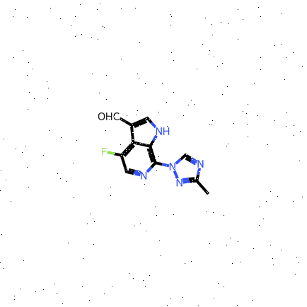 Cc1ncn(-c2ncc(F)c3c(C=O)c[nH]c23)n1